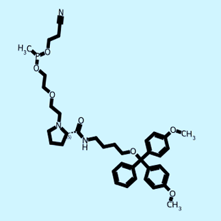 COc1ccc(C(OCCCCNC(=O)[C@@H]2CCCN2CCOCCOP(C)OCCC#N)(c2ccccc2)c2ccc(OC)cc2)cc1